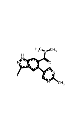 Cc1ncc(-c2cc3c(I)n[nH]c3cc2C(=O)N(C)C)cn1